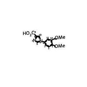 COc1ccc(-n2cnc(C(=O)O)c2)cc1OC